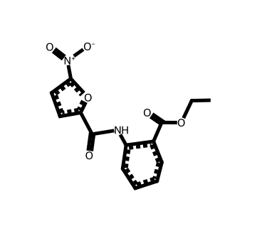 CCOC(=O)c1ccccc1NC(=O)c1ccc([N+](=O)[O-])o1